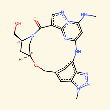 CNc1cc2nc3c(cnn13)C(=O)N1C[C@H](C[C@H]1CO)OCc1cc(c3nnn(C)c3c1)N2